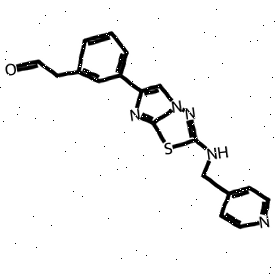 O=CCc1cccc(-c2cn3nc(NCc4ccncc4)sc3n2)c1